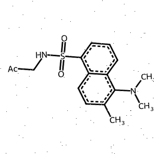 CC(=O)CNS(=O)(=O)c1cccc2c(N(C)C)c(C)ccc12